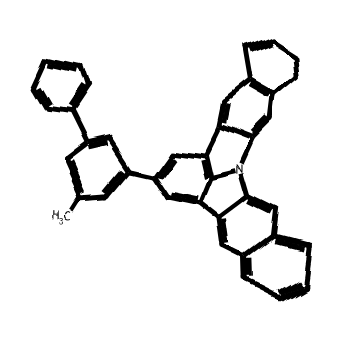 Cc1cc(-c2ccccc2)cc(-c2cc3c4cc5c(cc4n4c6cc7ccccc7cc6c(c2)c34)CCC=C5)c1